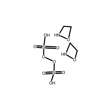 C1CON1.C1CON1.O=S(=O)(O)OOS(=O)(=O)O